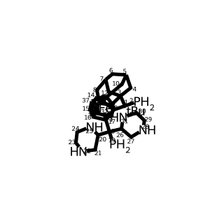 CC(C)(C)C(P)(C12CC3CC(CC(C3)C1)C2)[C]12[CH]3[CH]4[CH]5[C]1(C(P)(C1CNCCN1)C1CNCCN1)[Fe]45321678[CH]2[CH]1[CH]6[CH]7[CH]28